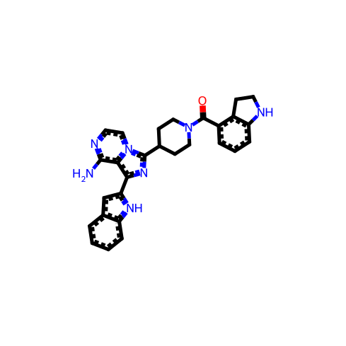 Nc1nccn2c(C3CCN(C(=O)c4cccc5c4CCN5)CC3)nc(-c3cc4ccccc4[nH]3)c12